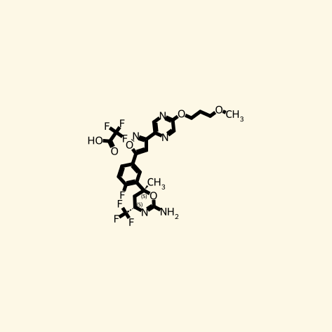 COCCCOc1cnc(-c2cc(-c3ccc(F)c([C@]4(C)C[C@@H](C(F)(F)F)N=C(N)O4)c3)on2)cn1.O=C(O)C(F)(F)F